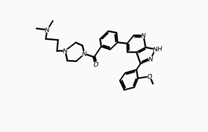 COc1ccccc1-c1n[nH]c2ncc(-c3cccc(C(=O)N4CCN(CCCN(C)C)CC4)c3)cc12